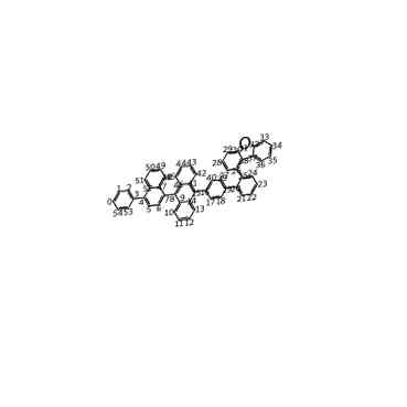 c1ccc(-c2ccc(-c3c4ccccc4c(-c4ccc(-c5ccccc5-c5cccc6oc7ccccc7c56)cc4)c4ccccc34)c3ccccc23)cc1